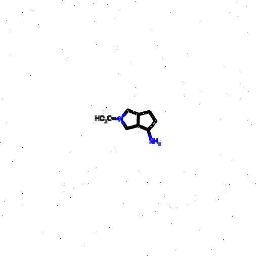 NC1CCC2CN(C(=O)O)CC12